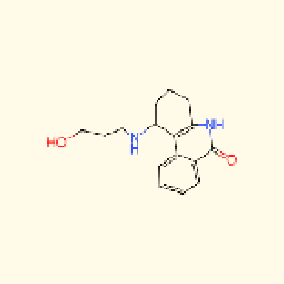 O=c1[nH]c2c(c3ccccc13)C(NCCCO)CCC2